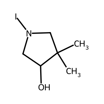 CC1(C)CN(I)CC1O